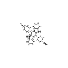 N#Cc1ccc(-c2c3[nH]c4ccccc4c3c(-c3ccc(C#N)cc3)c3[nH]c4ccccc4c23)cc1